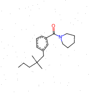 CCCC(C)(C)Cc1cccc(C(=O)N2CCCCC2)c1